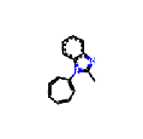 Cc1nc2ccccc2n1C1=CC=CC=C=C1